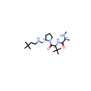 CN[C@@H](C)C(=O)N[C@H](C(=O)N1CCC[C@H]1CNCCC(C)(C)C)C(C)(C)C